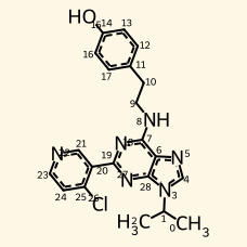 CC(C)n1cnc2c(NCCc3ccc(O)cc3)nc(-c3cnccc3Cl)nc21